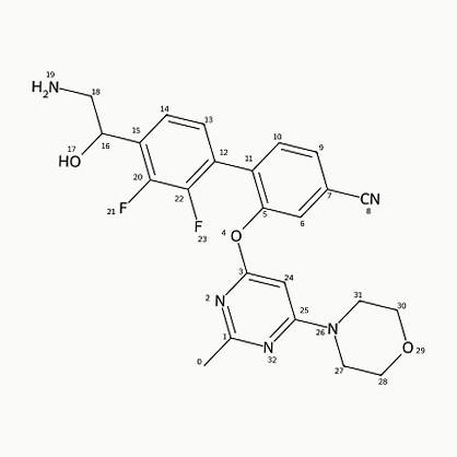 Cc1nc(Oc2cc(C#N)ccc2-c2ccc(C(O)CN)c(F)c2F)cc(N2CCOCC2)n1